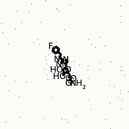 NS(=O)(=O)OCC1O[C@@H](n2cnc3c(Cc4ccc(F)cc4)ncnc32)[C@H](O)C1O